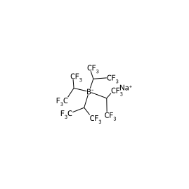 FC(F)(F)C([B-](C(C(F)(F)F)C(F)(F)F)(C(C(F)(F)F)C(F)(F)F)C(C(F)(F)F)C(F)(F)F)C(F)(F)F.[Na+]